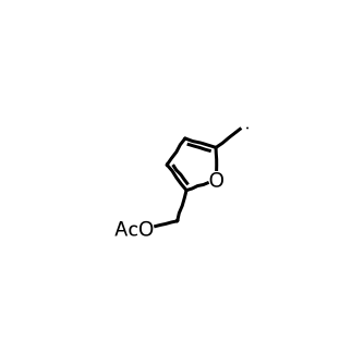 [CH2]c1ccc(COC(C)=O)o1